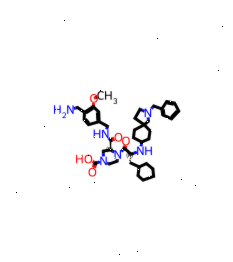 COc1cc(CNC(=O)[C@@H]2CN(C(=O)O)CCN2C(=O)[C@@H](CC2CCCCC2)NC2CCC3(CC2)CCN(Cc2ccccc2)C3)ccc1CN